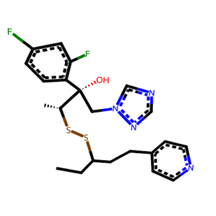 CCC(CCc1ccncc1)SS[C@H](C)[C@](O)(Cn1cncn1)c1ccc(F)cc1F